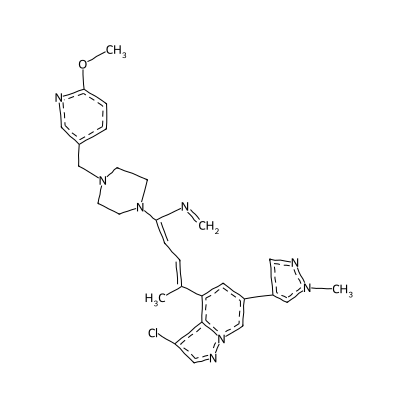 C=N/C(=C\C=C(/C)c1cc(-c2cnn(C)c2)cn2ncc(Cl)c12)N1CCN(Cc2ccc(OC)nc2)CC1